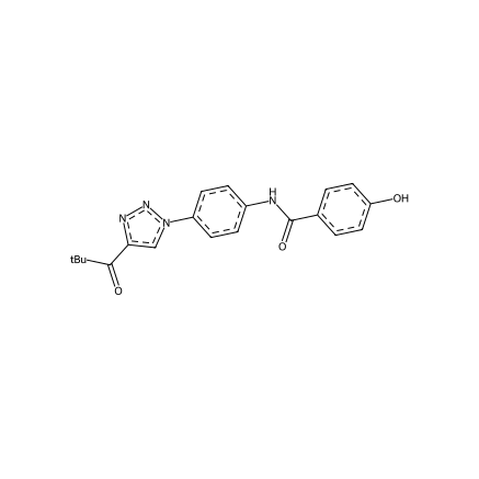 CC(C)(C)C(=O)c1cn(-c2ccc(NC(=O)c3ccc(O)cc3)cc2)nn1